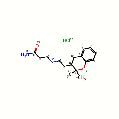 CC1(C)Oc2ccccc2CC1CCNCCC(N)=O.Cl